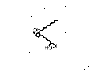 C=CO.CCCCCCCCCC[C@H]1CCC[C@@H]1CCCCCC(=CO)CO